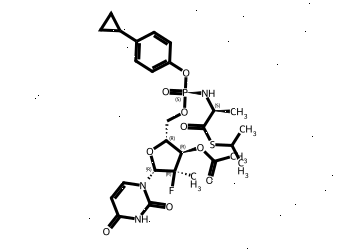 CC(=O)O[C@@H]1[C@@H](CO[P@@](=O)(N[C@@H](C)C(=O)SC(C)C)Oc2ccc(C3CC3)cc2)O[C@@H](n2ccc(=O)[nH]c2=O)[C@]1(C)F